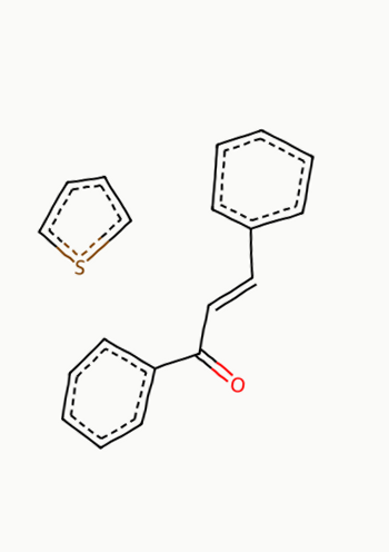 O=C(C=Cc1ccccc1)c1ccccc1.c1ccsc1